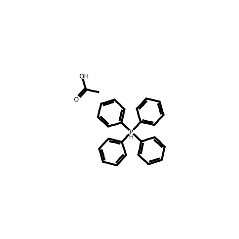 CC(=O)O.c1ccc([PH](c2ccccc2)(c2ccccc2)c2ccccc2)cc1